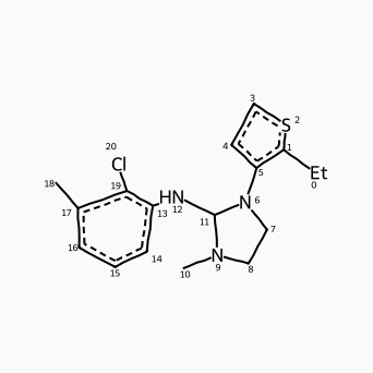 CCc1sccc1N1CCN(C)C1Nc1cccc(C)c1Cl